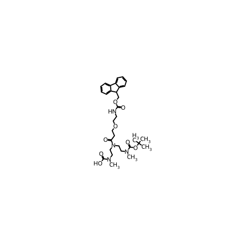 CN(CCN(CCN(C)C(=O)OC(C)(C)C)C(=O)CCOCCNC(=O)OCC1c2ccccc2-c2ccccc21)C(=O)O